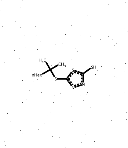 CCCCCCC(C)(C)Sc1nnc(S)s1